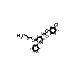 CCCCOc1cc(=NC(=O)Oc2cccc(Cl)c2)cnn1-c1ccccc1